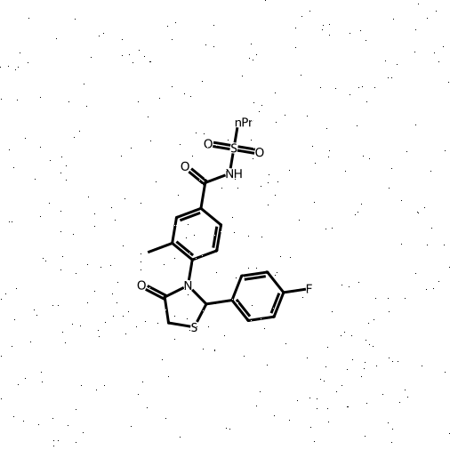 CCCS(=O)(=O)NC(=O)c1ccc(N2C(=O)CSC2c2ccc(F)cc2)c(C)c1